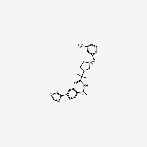 C[C@H](NC(=O)C(C)(C)N1CC[C@@H](Oc2cccc(C(F)(F)F)c2)C1)c1ccc(-c2ncon2)cc1